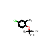 CCCCCCC(CC)(Oc1ccc(Cl)cc1C)C(=O)O